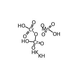 [KH].[KH].[O]=[Cr](=[O])([OH])[O][Cr](=[O])(=[O])[OH].[O]=[Mn](=[O])(=[O])[OH]